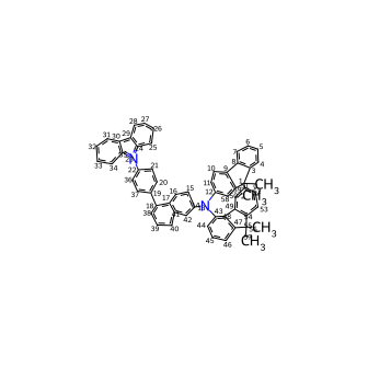 CC1(C)c2ccccc2-c2ccc(N(c3ccc4c(-c5ccc(-n6c7ccccc7c7ccccc76)cc5)cccc4c3)c3cccc4c3-c3ccccc3C4(C)C)cc21